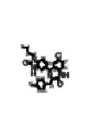 CCCCn1c(=O)[nH]c2cc(C3=NC(Cc4ccc(C)cc4)C(=O)Nc4ccc(Cl)cc43)ccc21